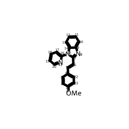 COc1ccc(/C=C/c2nc3ccccc3n2-c2ccccn2)cc1